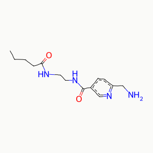 CCCCC(=O)NCCNC(=O)c1ccc(CN)nc1